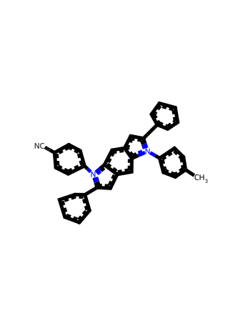 Cc1ccc(-n2c(-c3ccccc3)cc3cc4c(cc(-c5ccccc5)n4-c4ccc(C#N)cc4)cc32)cc1